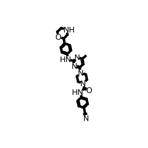 Cc1cc(N2CCN(C(=O)Nc3ccc(C#N)cc3)CC2)nc(Nc2ccc(C3CNCCO3)cc2)n1